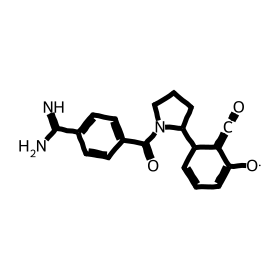 N=C(N)c1ccc(C(=O)N2CCCC2C2C=CC=C([O])C2=C=O)cc1